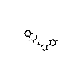 CN1C(=O)[C@@H](NC(=O)c2ncc(Cl)c(-c3ccc(F)cc3F)n2)COc2ccccc21